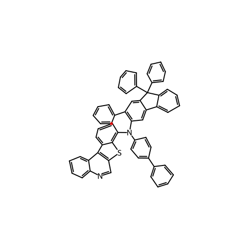 c1ccc(-c2ccc(N(c3cc4c(cc3-c3ccccc3)C(c3ccccc3)(c3ccccc3)c3ccccc3-4)c3cccc4c3sc3cnc5ccccc5c34)cc2)cc1